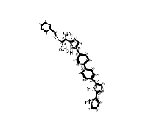 C[C@@H](OCc1ccccc1)[C@H](N)c1ncc(-c2ccc(-c3ccc(-c4cnc(C5=CCCN5)[nH]4)cc3)cc2)[nH]1